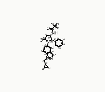 CC(F)(F)C(=O)N[C@H]1CC(=O)N(c2ccc3c(cnn3CC3CC3)c2)[C@@H]1c1ccccc1